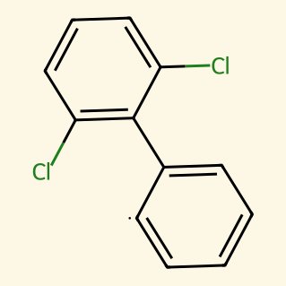 Clc1cccc(Cl)c1-c1[c]cccc1